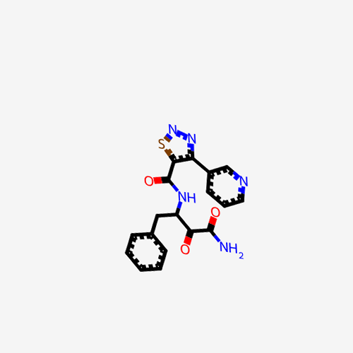 NC(=O)C(=O)C(Cc1ccccc1)NC(=O)c1snnc1-c1cccnc1